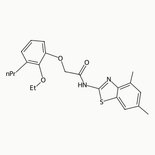 CCCc1cccc(OCC(=O)Nc2nc3c(C)cc(C)cc3s2)c1OCC